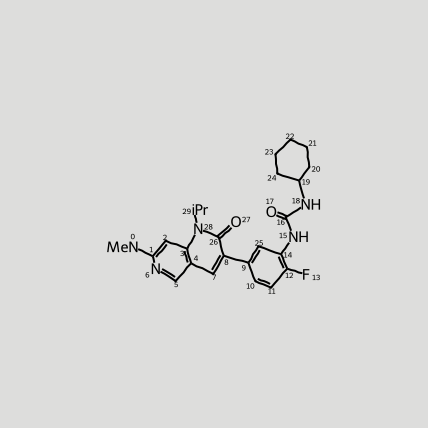 CNc1cc2c(cn1)cc(-c1ccc(F)c(NC(=O)NC3CCCCC3)c1)c(=O)n2C(C)C